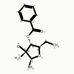 B[C@@H]1O[C@H](CC)[C@@H](OC(=O)c2ccccc2)[C@@]1(C)Cl